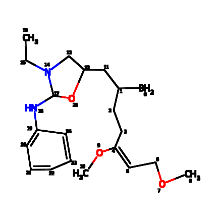 BC(CC/C(=C\COC)OC)CC1CN(CC)C(Nc2ccccc2)O1